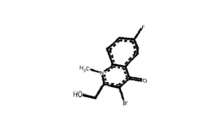 Cn1c(CO)c(Br)c(=O)c2cc(F)ccc21